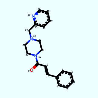 O=C(C=Cc1ccccc1)N1CCN(Cc2ccccn2)CC1